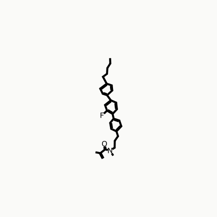 C=C(C)C(=O)N(C)CCCc1ccc(-c2ccc(-c3ccc(CCCCC)cc3)cc2F)cc1